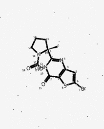 C[C@]1(c2nc3cc(Br)sc3c(=O)[nH]2)CCCN1C(=O)O